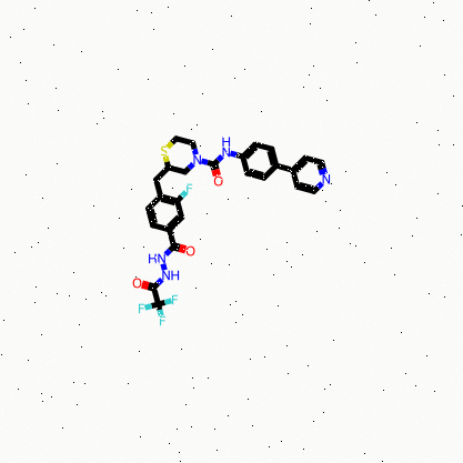 O=C(NNC(=O)C(F)(F)F)c1ccc(CC2CN(C(=O)Nc3ccc(-c4ccncc4)cc3)CCS2)c(F)c1